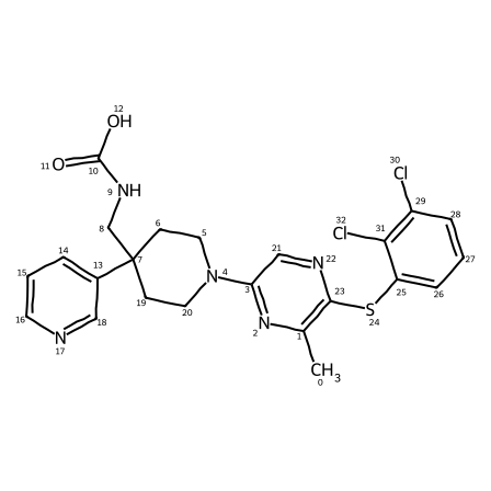 Cc1nc(N2CCC(CNC(=O)O)(c3cccnc3)CC2)cnc1Sc1cccc(Cl)c1Cl